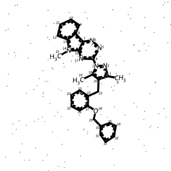 Cc1nn(-c2nnc3c4ccccc4n(C)c3n2)c(C)c1Cc1ccccc1OCc1ccccc1